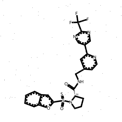 O=C(NCc1ccnc(-c2cnc(C(F)(F)F)nc2)c1)[C@@H]1CCCN1S(=O)(=S)c1cc2ccccc2o1